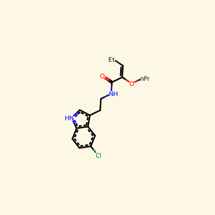 CC/C=C(/OCCC)C(=O)NCCc1c[nH]c2ccc(Cl)cc12